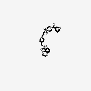 O=C(NCC1CCN(CCCS(=O)(=O)N2CCN(C(=O)c3cccnc3)CC2)CC1)c1cccc2c1OCCO2